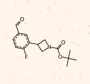 CC(C)(C)OC(=O)N1CC(c2cc(C=O)ccc2F)C1